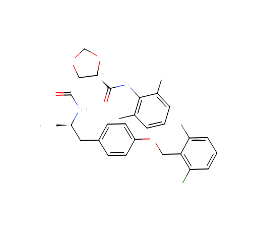 CCOC(=O)[C@H](Cc1ccc(OCc2c(Cl)cccc2Cl)cc1)NC(=O)[C@@H]1OCO[C@H]1C(=O)Nc1c(CC)cccc1CC